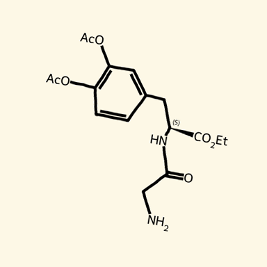 CCOC(=O)[C@H](Cc1ccc(OC(C)=O)c(OC(C)=O)c1)NC(=O)CN